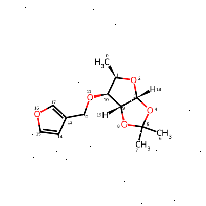 C[C@H]1O[C@@H]2OC(C)(C)O[C@@H]2[C@H]1OCc1ccoc1